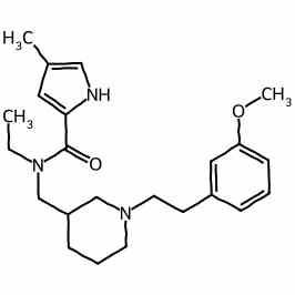 CCN(CC1CCCN(CCc2cccc(OC)c2)C1)C(=O)c1cc(C)c[nH]1